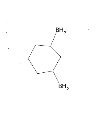 BC1CCCC(B)C1